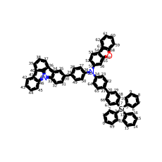 c1ccc([Si](c2ccccc2)(c2ccccc2)c2ccc(-c3ccc(N(c4ccc(-c5ccc6c(c5)c5cccc7c8ccccc8n6c75)cc4)c4ccc5c(c4)oc4ccccc45)cc3)cc2)cc1